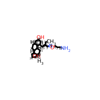 CCC(/C=N/OCCCN)=C\C1C[C@H](O)C[C@H]2CC[C@@H]3[C@H](CC[C@]4(C)CCC[C@]34O)[C@@]12C